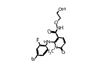 Cn1c(Nc2ccc(Br)cc2F)c(C(=O)NOCCO)ccc1=O